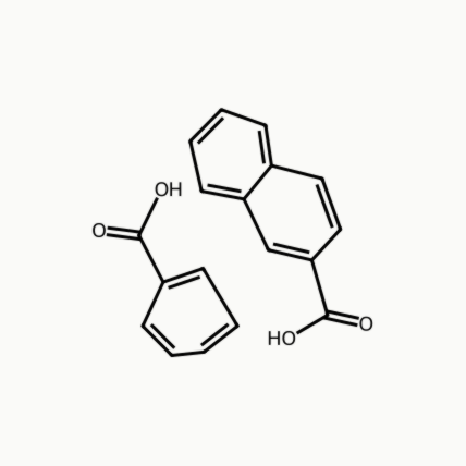 O=C(O)c1ccc2ccccc2c1.O=C(O)c1ccccc1